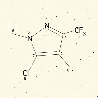 [CH2]c1c(C(F)(F)F)nn(C)c1Cl